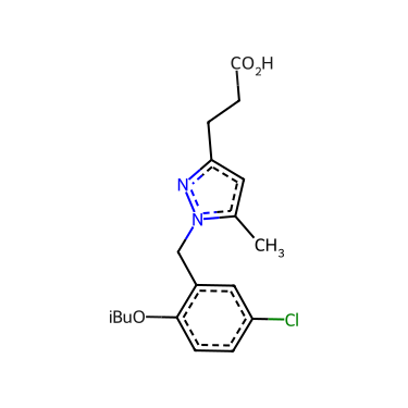 Cc1cc(CCC(=O)O)nn1Cc1cc(Cl)ccc1OCC(C)C